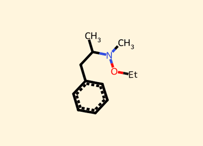 CCON(C)C(C)Cc1ccccc1